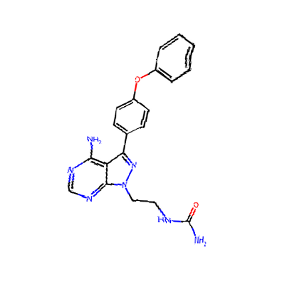 NC(=O)NCCn1nc(-c2ccc(Oc3ccccc3)cc2)c2c(N)ncnc21